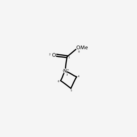 COC(=O)[N+]1CCC1